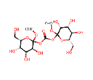 O=COC1(OC(=O)OC2(OC=O)O[C@H](CO)[C@@H](O)[C@H](O)[C@@H]2O)O[C@@H](CO)[C@H](O)[C@@H](O)[C@H]1O